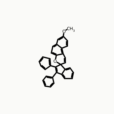 COc1ccc2c3c(ccc2c1)OC1(C=C3)C(c2ccccc2)=C(c2ccccc2)c2ccccc21